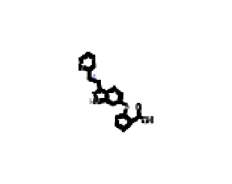 O=C(O)c1ccccc1Sc1ccc2c(/C=C/c3ccccn3)n[nH]c2c1